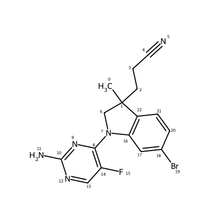 CC1(CCC#N)CN(c2nc(N)ncc2F)c2cc(Br)ccc21